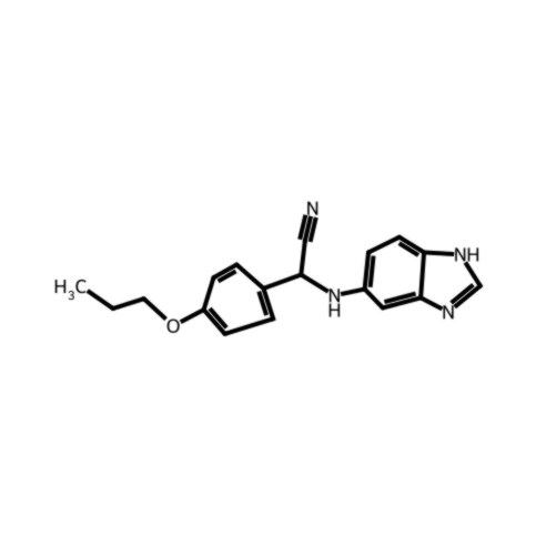 CCCOc1ccc(C(C#N)Nc2ccc3[nH]cnc3c2)cc1